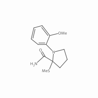 COc1ccccc1N1CCCC1(SC)C(N)=O